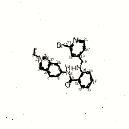 CCn1cc2ccc(NC(=O)c3ccccc3NCc3ccnc(Br)c3)cc2n1